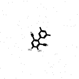 Cc1cc(C)cc(-c2c(C#N)cc(O)c(O)c2C#N)c1